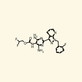 Nc1nc(-c2nn(Cc3ccccc3F)c3ncccc23)nc(N)c1NC(=O)OCC(F)F